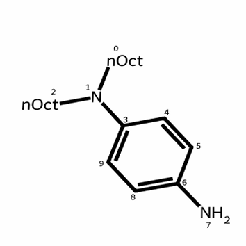 CCCCCCCCN(CCCCCCCC)c1ccc(N)cc1